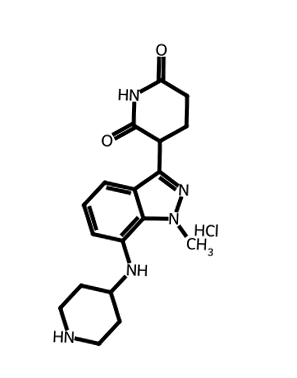 Cl.Cn1nc(C2CCC(=O)NC2=O)c2cccc(NC3CCNCC3)c21